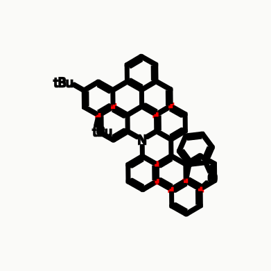 CC(C)(C)c1cc(-c2cccc3cccc(-c4ccccc4N(c4cccc(-c5cccc6oc7ccccc7c56)c4)c4ccccc4-c4cccc5ccccc45)c23)cc(C(C)(C)C)c1